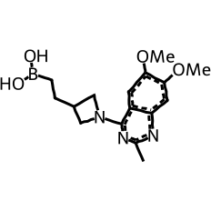 COc1cc2nc(C)nc(N3CC(CCB(O)O)C3)c2cc1OC